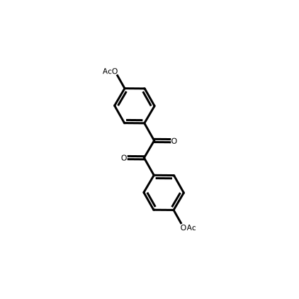 CC(=O)Oc1ccc(C(=O)C(=O)c2ccc(OC(C)=O)cc2)cc1